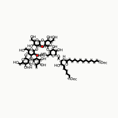 CCCCCCCCCCCCC/C=C/[C@@H](O)[C@H](CO[C@@H]1OC(CO)[C@@H](O[C@@H]2OC(CO)[C@H](O)[C@H](O[C@H]3OC(CO)[C@H](O)[C@H](O[C@@H]4OC(CO)[C@@H](O[C@@H]5OC(CO)[C@H](O)[C@H](O)C5O)[C@H](O[C@H]5OC(C)[C@@H](O)C(O)[C@@H]5O)C4NC(C)=O)C3O)C2O)[C@H](O)C1O)NC(=O)CCCCCCCCCCCCCCCCCCCCC